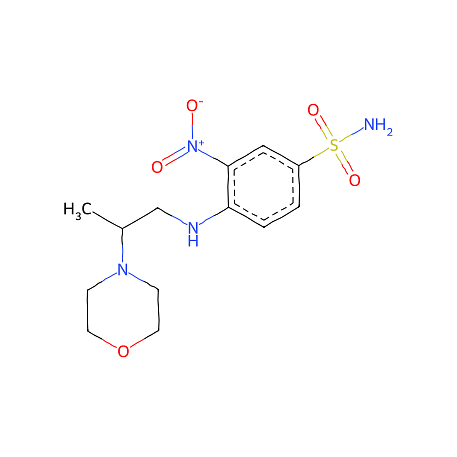 CC(CNc1ccc(S(N)(=O)=O)cc1[N+](=O)[O-])N1CCOCC1